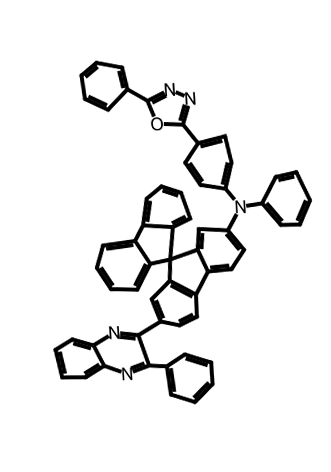 c1ccc(-c2nnc(-c3ccc(N(c4ccccc4)c4ccc5c(c4)C4(c6ccccc6-c6ccccc64)c4cc(-c6nc7ccccc7nc6-c6ccccc6)ccc4-5)cc3)o2)cc1